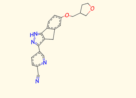 N#Cc1ccc(-c2n[nH]c3c2Cc2cc(OCC4CCOC4)ccc2-3)cn1